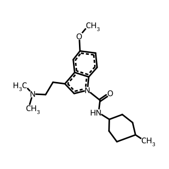 COc1ccc2c(c1)c(CCN(C)C)cn2C(=O)NC1CCC(C)CC1